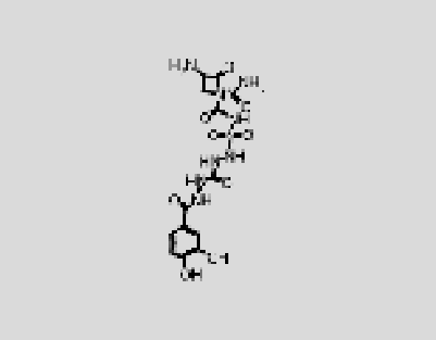 NC(=O)[N@+]1(C(=O)NS(=O)(=O)NNC(=O)NNC(=O)c2ccc(O)c(O)c2)CC(N)C1=O